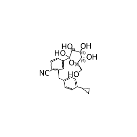 N#Cc1ccc(C2(O)O[C@H](CO)[C@@H](O)[C@H](O)[C@H]2O)cc1Cc1ccc(C2CC2)cc1